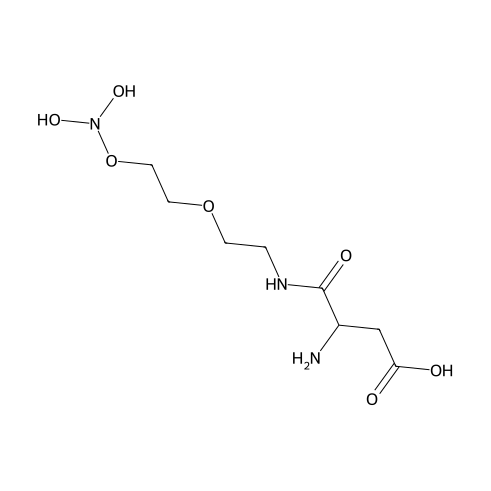 NC(CC(=O)O)C(=O)NCCOCCON(O)O